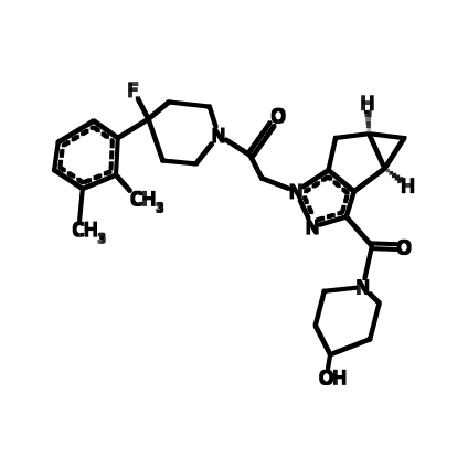 Cc1cccc(C2(F)CCN(C(=O)Cn3nc(C(=O)N4CCC(O)CC4)c4c3C[C@H]3C[C@@H]43)CC2)c1C